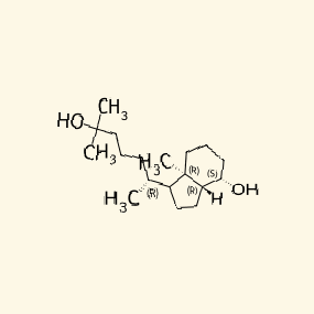 C[C@H](CCCC(C)(C)O)C1CC[C@H]2[C@@H](O)CCC[C@]12C